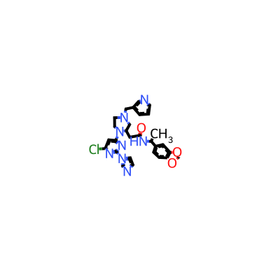 CC(NC(=O)CC1CN(Cc2cccnc2)CCN1c1cc(Cl)nc(-n2ccnc2)n1)c1ccc2c(c1)OCO2